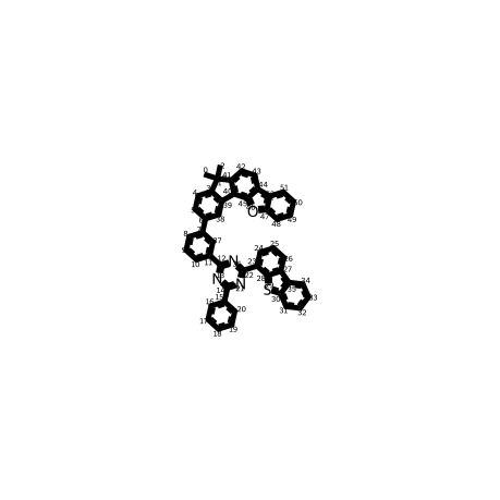 CC1(C)c2ccc(-c3cccc(-c4nc(-c5ccccc5)nc(-c5cccc6c5sc5ccccc56)n4)c3)cc2-c2c1ccc1c2oc2ccccc21